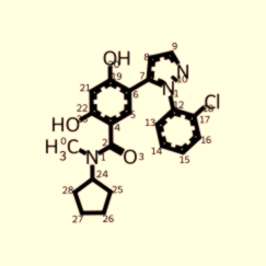 CN(C(=O)c1cc(-c2ccnn2-c2ccccc2Cl)c(O)cc1O)C1CCCC1